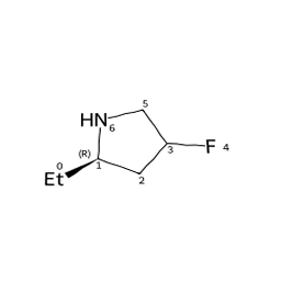 CC[C@@H]1CC(F)CN1